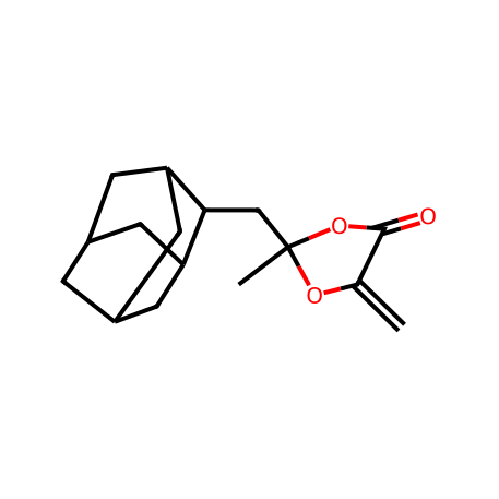 C=C1OC(C)(CC2C3CC4CC(C3)CC2C4)OC1=O